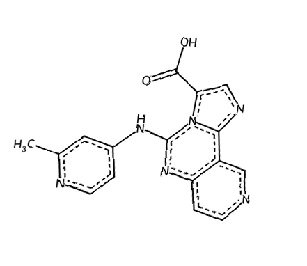 Cc1cc(Nc2nc3ccncc3c3ncc(C(=O)O)n23)ccn1